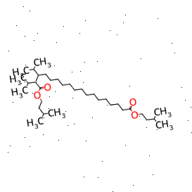 CC(C)CCOC(=O)CCCCCCCCCCCCCCC(C(C)C)C(C(=O)OCCC(C)C)C(C)C